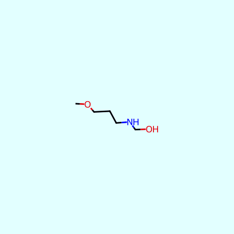 COCCCNCO